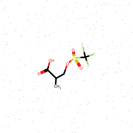 CC(COS(=O)(=O)C(F)(F)F)C(=O)O